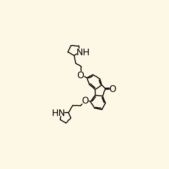 O=C1c2ccc(OCCC3CCCN3)cc2-c2c(OCCC3CCCN3)cccc21